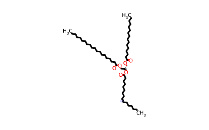 CCCCCC/C=C\CCCCCCCC(=O)O[C@@H](COC(=O)CCCCCCCCCCCCCCC)COC(=O)CCCCCCCCCCCCCCCCCCC